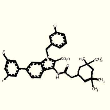 CC1(C)CC(CC(=O)Nc2c(C(=O)O)n(Cc3cccc(Cl)c3)c3cc(-c4cc(F)cc(F)c4)ccc23)CC(C)(C)C1